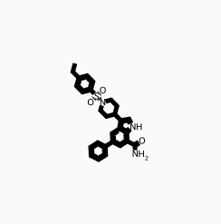 CCc1ccc(S(=O)(=O)N2CCC(c3c[nH]c4c(C(N)=O)cc(-c5ccccc5)cc34)CC2)cc1